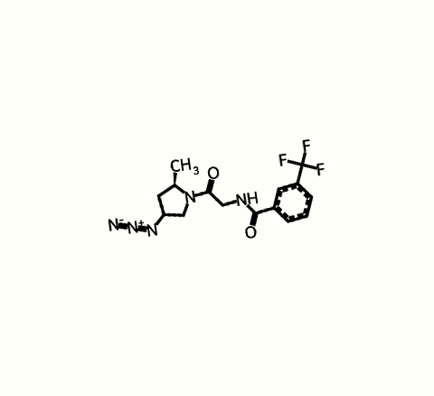 C[C@@H]1CC(N=[N+]=[N-])CN1C(=O)CNC(=O)c1cccc(C(F)(F)F)c1